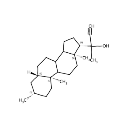 C#CC(C)(O)[C@H]1CCC2C3CC[C@H]4C[C@@H](C)CC[C@]4(C)C3CC[C@@]21C